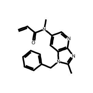 C=CC(=O)N(C)c1cnc2nc(C)n(Cc3ccccc3)c2c1